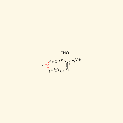 COc1ccc2cocc2c1C=O